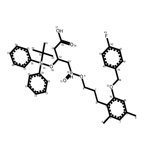 Cc1cc(C)c(CCCO[PH](=O)CC(CC(=O)O)O[Si](c2ccccc2)(c2ccccc2)C(C)(C)C)c(OCc2ccc(F)cc2)c1